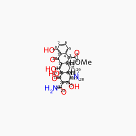 COC(=O)[C@@H]1c2cccc(O)c2C(=O)C2=C(O)[C@]3(O)C(=O)C(C(N)=O)=C(O)[C@@H](N(C)C)[C@@H]3C[C@@H]21